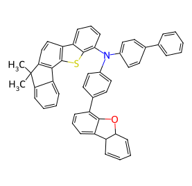 CC1(C)c2ccccc2-c2c1ccc1c2sc2c(N(c3ccc(-c4ccccc4)cc3)c3ccc(-c4cccc5c4OC4C=CC=CC54)cc3)cccc21